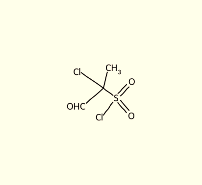 CC(Cl)(C=O)S(=O)(=O)Cl